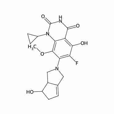 COc1c(N2CC3=CCC(O)C3C2)c(F)c(O)c2c(=O)[nH]c(=O)n(C3CC3)c12